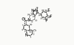 Cc1ccnc2ccc(C(=O)N3CCc4c(nn(C)c4-c4cc(F)c(F)c(F)c4)C3)cc12